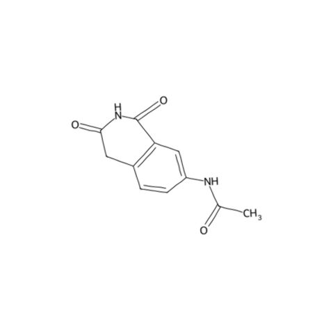 CC(=O)Nc1ccc2c(c1)C(=O)NC(=O)C2